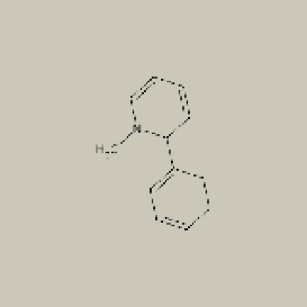 CN1C=CC=CC1C1=CC=CCC1